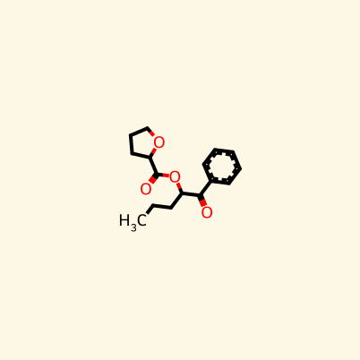 CCCC(OC(=O)C1CCCO1)C(=O)c1ccccc1